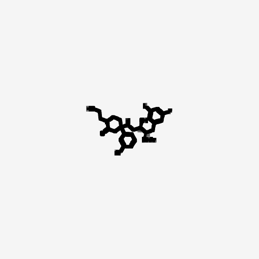 CC(=O)N[C@@H](Cc1cc(F)cc(F)c1)[C@H](O)CNC1(c2cccc(C(C)C)c2)CCN(CCO)C(=O)C1